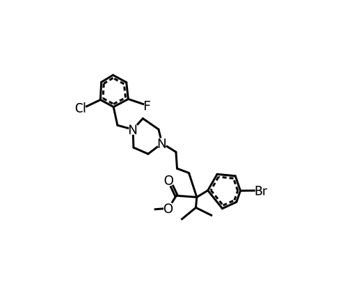 COC(=O)C(CCCN1CCN(Cc2c(F)cccc2Cl)CC1)(c1ccc(Br)cc1)C(C)C